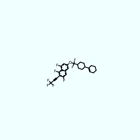 Fc1cc2cc(OC(F)(F)C3CCC(C4=CCCCC4)CC3)cc(F)c2c(F)c1C#CC(F)(F)F